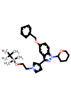 CC(C)(C)[Si](C)(C)OCCn1ccc(-c2nn(C3CCCCO3)c3ccc(OCc4ccccc4)cc23)c1